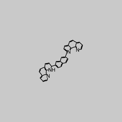 C1=CC(c2ccc3ccc(-c4ccc5ccc6cccnc6c5n4)cc3c2)Nc2c1ccc1cccnc21